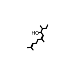 CCC(C)C(O)/C=C(/C)CCC=C(C)C